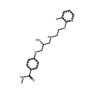 CNC(=O)c1ccc(OCC(O)CNCCOc2ncccc2C)cc1